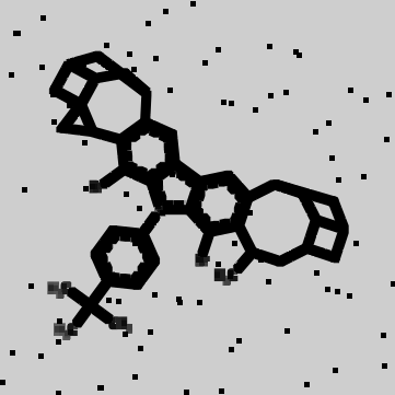 CC1CC2CC3CC(CC23)c2cc3c4cc5c(c(Br)c4n(-c4ccc(C(C)(C)C)cc4)c3c(Br)c21)C1CC12CC1CC5CC12